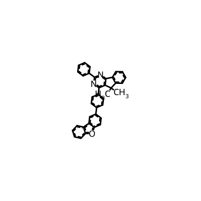 CC1(C)c2ccccc2-c2nc(-c3ccccc3)nc(-c3ccc(-c4ccc5oc6ccccc6c5c4)cc3)c21